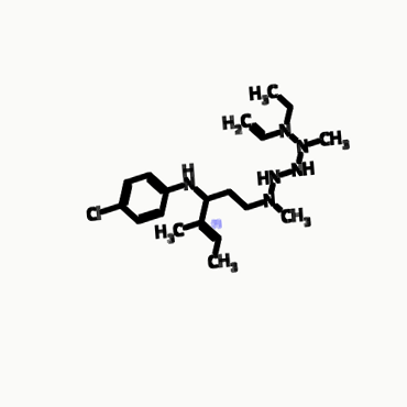 C=CN(CC)N(C)NNN(C)CCC(Nc1ccc(Cl)cc1)/C(C)=C/C